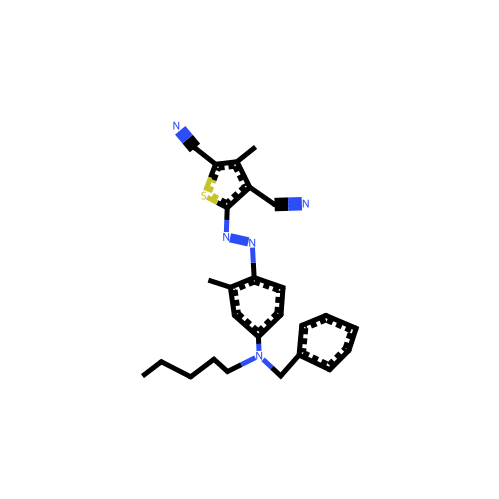 CCCCCN(Cc1ccccc1)c1ccc(/N=N/c2sc(C#N)c(C)c2C#N)c(C)c1